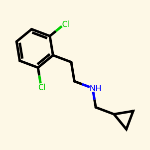 Clc1cccc(Cl)c1CCNCC1CC1